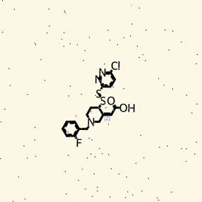 O=C(O)/C=C1/CN(Cc2ccccc2F)CCC1SSc1ccc(Cl)nn1